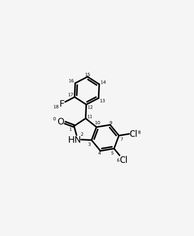 O=C1Nc2cc(Cl)c(Cl)cc2C1c1ccccc1F